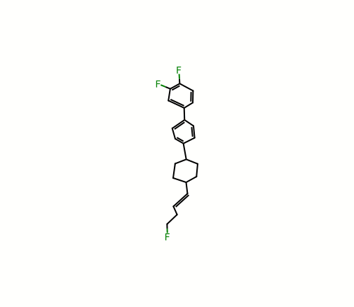 FCCC=CC1CCC(c2ccc(-c3ccc(F)c(F)c3)cc2)CC1